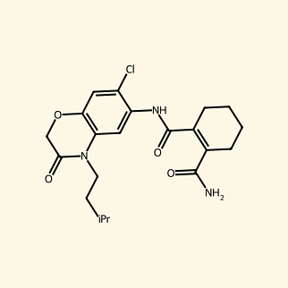 CC(C)CCN1C(=O)COc2cc(Cl)c(NC(=O)C3=C(C(N)=O)CCCC3)cc21